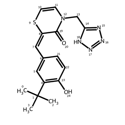 CC(C)(C)c1cc(/C=C2/SC=CN(Cc3nnn[nH]3)C2=O)ccc1O